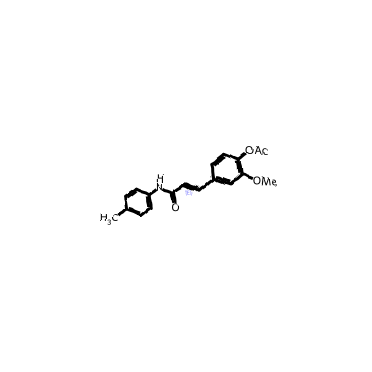 COc1cc(/C=C/C(=O)Nc2ccc(C)cc2)ccc1OC(C)=O